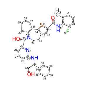 Cc1cccc(F)c1NC(=O)c1cc2c(s1)-c1ccccc1N(C(O)c1cccc(N[C@H](CO)c3ccccc3)n1)CC2